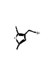 Cc1cc(CS)c(C)o1